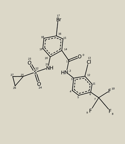 O=C(Nc1ccc(C(F)(F)F)cc1Cl)c1cc(Br)ccc1NS(=O)(=O)C1CC1